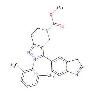 Cc1cccc(C)c1-n1nc2c(c1-c1ccc3c(c1)CC=N3)CN(C(=O)OC(C)(C)C)CC2